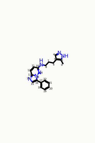 Cc1[nH]ncc1CCCNc1ccc2ncc(-c3ccccc3)n2n1